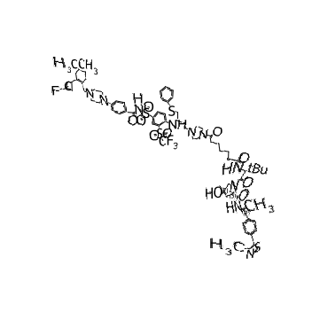 Cc1ncsc1-c1ccc([C@H](C)NC(=O)[C@@H]2C[C@@H](O)CN2C(=O)C(NC(=O)CCCCCC(=O)N2CCN(CCC(CSc3ccccc3)Nc3ccc(S(=O)(=O)NC(=O)c4ccc(N5CCN(CC6=C(C78CC(F)(C7)C8)CC(C)(C)CC6)CC5)cc4)cc3S(=O)(=O)C(F)(F)F)CC2)C(C)(C)C)cc1